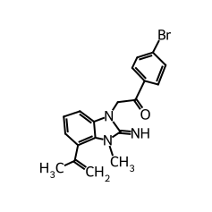 C=C(C)c1cccc2c1n(C)c(=N)n2CC(=O)c1ccc(Br)cc1